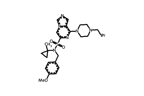 COc1ccc(CN(C2(C)CC2)S(=O)(=O)c2cn3cncc3c(N3CCN(CC(C)C)CC3)n2)cc1